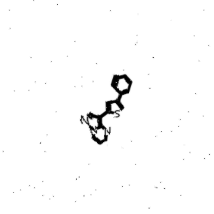 c1ccc(-c2csc(-c3cnn4cccnc34)c2)cc1